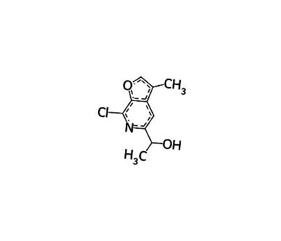 Cc1coc2c(Cl)nc(C(C)O)cc12